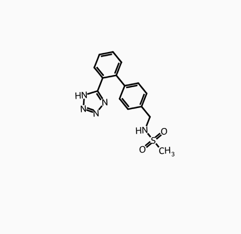 CS(=O)(=O)NCc1ccc(-c2ccccc2-c2nnn[nH]2)cc1